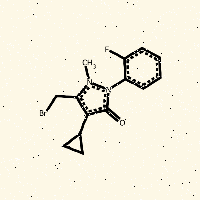 Cn1c(CBr)c(C2CC2)c(=O)n1-c1ccccc1F